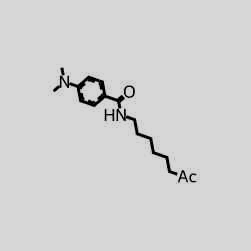 CC(=O)CCCCCCNC(=O)c1ccc(N(C)C)cc1